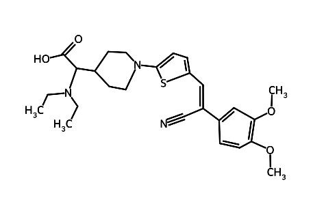 CCN(CC)C(C(=O)O)C1CCN(c2ccc(C=C(C#N)c3ccc(OC)c(OC)c3)s2)CC1